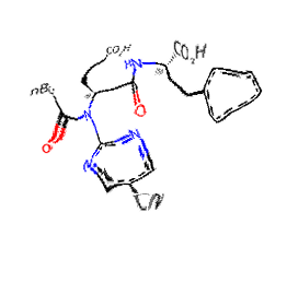 CCCCC(=O)N(c1ncc(C#N)cn1)[C@@H](CC(=O)O)C(=O)N[C@@H](Cc1ccccc1)C(=O)O